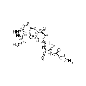 CCOC(=O)NC(=O)C(C#N)=NNc1cc(Cl)c(Oc2ccc3[nH]nc(CC)c3c2)c(Cl)c1